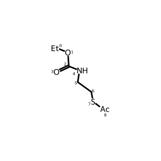 CCOC(=O)NCCSC(C)=O